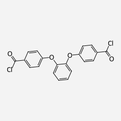 O=C(Cl)c1ccc(Oc2ccccc2Oc2ccc(C(=O)Cl)cc2)cc1